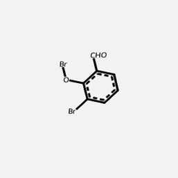 O=Cc1cccc(Br)c1OBr